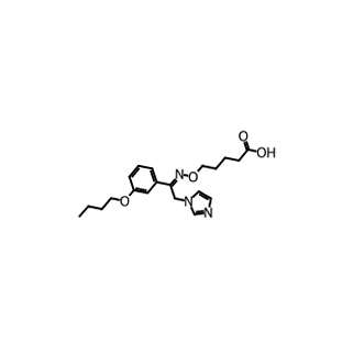 CCCCOc1cccc(C(Cn2ccnc2)=NOCCCCC(=O)O)c1